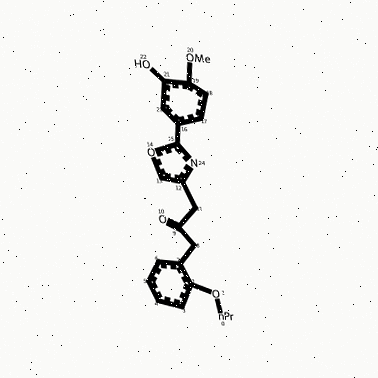 CCCOc1ccccc1CC(=O)Cc1coc(-c2ccc(OC)c(O)c2)n1